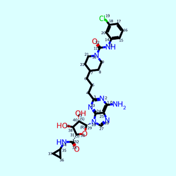 Nc1nc(CCCC2CCN(C(=O)Nc3cccc(Cl)c3)CC2)nc2c1ncn2[C@@H]1O[C@H](C(=O)NC2CC2)C(O)[C@@H]1O